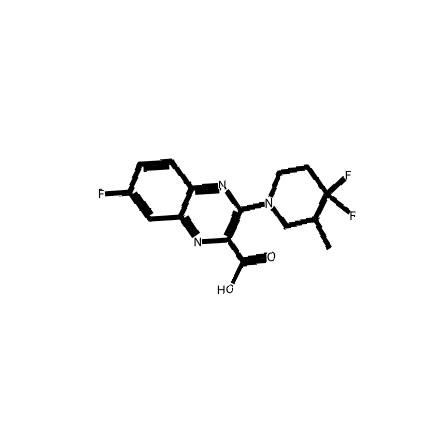 CC1CN(c2nc3ccc(F)cc3nc2C(=O)O)CCC1(F)F